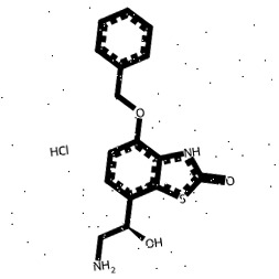 Cl.NC[C@H](O)c1ccc(OCc2ccccc2)c2[nH]c(=O)sc12